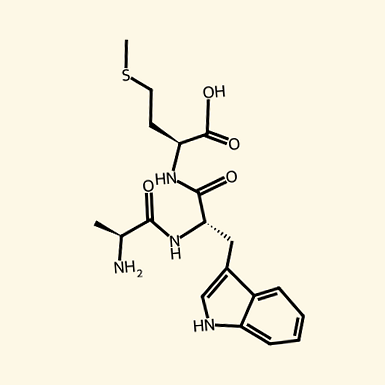 CSCC[C@H](NC(=O)[C@H](Cc1c[nH]c2ccccc12)NC(=O)[C@H](C)N)C(=O)O